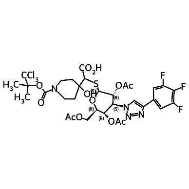 CC(=O)OC[C@H]1O[C@@H](SC(C(=O)O)C2(O)CCN(C(=O)OC(C)(C)C(Cl)(Cl)Cl)CC2)[C@H](OC(C)=O)[C@@H](n2cc(-c3cc(F)c(F)c(F)c3)nn2)[C@H]1OC(C)=O